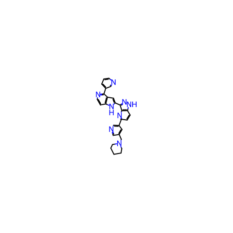 c1cncc(-c2nccc3[nH]c(-c4n[nH]c5ccc(-c6cncc(CN7CCCCC7)c6)nc45)cc23)c1